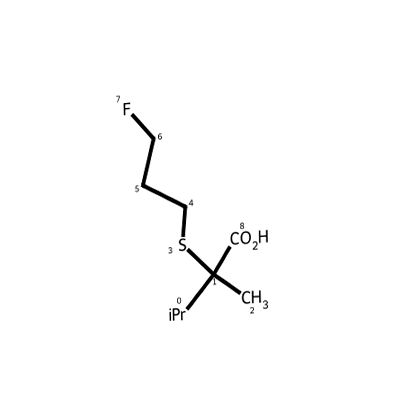 CC(C)C(C)(SCCCF)C(=O)O